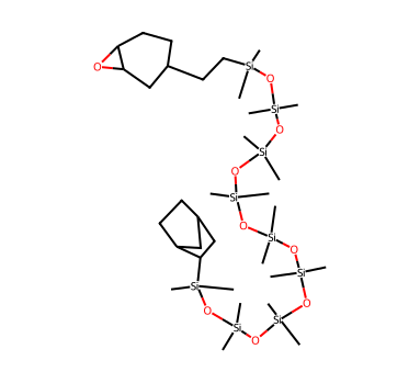 C[Si](C)(CCC1CCC2OC2C1)O[Si](C)(C)O[Si](C)(C)O[Si](C)(C)O[Si](C)(C)O[Si](C)(C)O[Si](C)(C)O[Si](C)(C)O[Si](C)(C)C1CC2CCC1C2